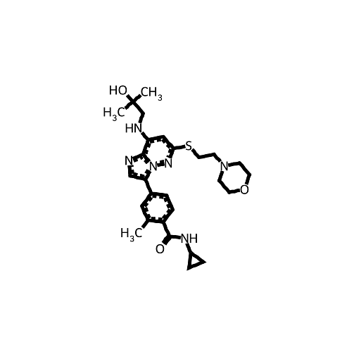 Cc1cc(-c2cnc3c(NCC(C)(C)O)cc(SCCN4CCOCC4)nn23)ccc1C(=O)NC1CC1